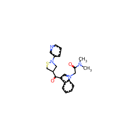 CN(C)C(=O)Cn1cc(C(=O)C2CSN(c3cccnc3)C2)c2ccccc21